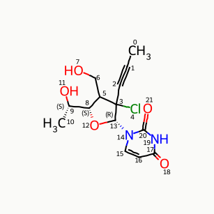 CC#CC1(Cl)C(CO)[C@@H]([C@H](C)O)O[C@H]1n1ccc(=O)[nH]c1=O